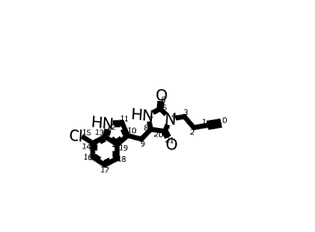 C#CCCN1C(=O)NC(Cc2c[nH]c3c(Cl)cccc23)C1=O